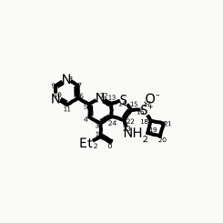 C=C(CC)c1cc(-c2cncnc2)nc2sc([S+]([O-])C3CCC3)c(N)c12